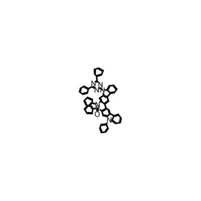 O=P1(c2ccccc2)c2cc3c(cc2-c2cc4c5ccccc5n(-c5nc(-c6ccccc6)nc(-c6ccccc6)n5)c4cc2N1c1ccccc1)c1ccccc1n3-c1ccccc1